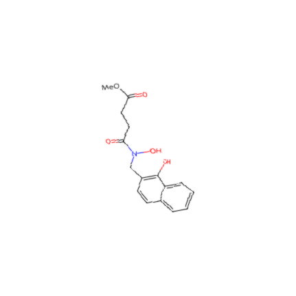 COC(=O)CCC(=O)N(O)Cc1ccc2ccccc2c1O